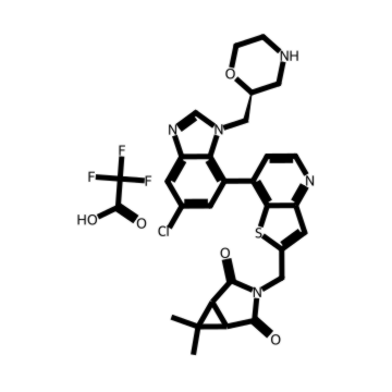 CC1(C)C2C(=O)N(Cc3cc4nccc(-c5cc(Cl)cc6ncn(C[C@@H]7CNCCO7)c56)c4s3)C(=O)C21.O=C(O)C(F)(F)F